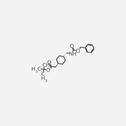 CC(C)(C)OC(=O)C[C@H]1CC[C@H](CNC(=O)OCc2ccccc2)CC1